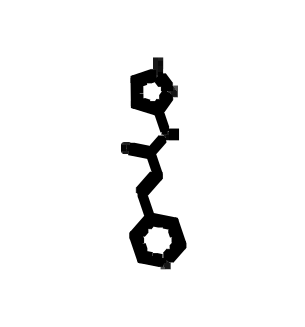 O=C(C=Cc1ccncc1)Nc1cc[nH]n1